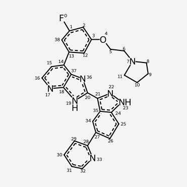 Fc1cc(OCCN2CCCC2)cc(-c2ccnc3[nH]c(-c4n[nH]c5ccc(-c6ccccn6)cc45)nc23)c1